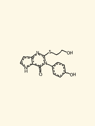 O=c1c2[nH]ccc2nc(SCCO)n1-c1ccc(O)cc1